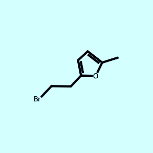 Cc1ccc(CCBr)o1